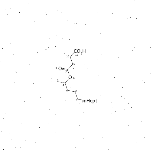 CCCCCCCCCCC(C)OC(=O)CCC(=O)O